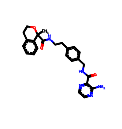 CC1(C(=O)NCCc2ccc(CNC(=O)c3nccnc3N)cc2)OCCc2ccccc21